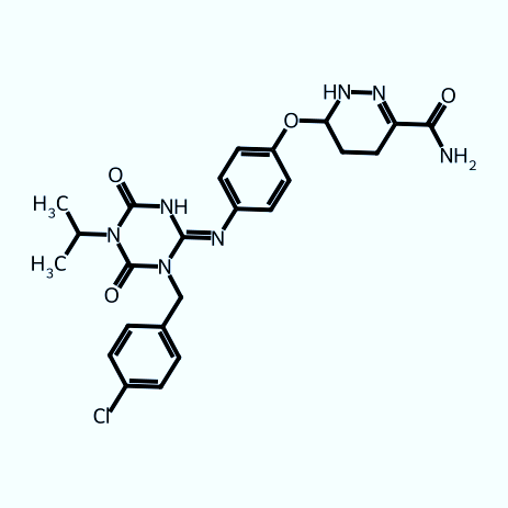 CC(C)n1c(=O)[nH]/c(=N\c2ccc(OC3CCC(C(N)=O)=NN3)cc2)n(Cc2ccc(Cl)cc2)c1=O